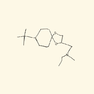 CCN(C)CC1COC2(CCC(C(C)(C)C)CC2)O1